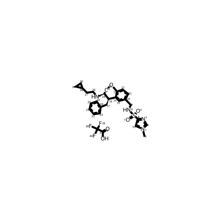 Cn1cnc(S(=O)(=O)NCc2ccc3c(c2)[C@@H](Cc2ccccc2)[C@@H](NCCC2CC2)CO3)c1.O=C(O)C(F)(F)F